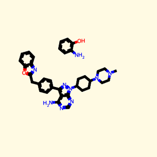 CN1CCN(C2CCC(n3nc(-c4ccc(Cc5nc6ccccc6o5)cc4)c4c(N)ncnc43)CC2)CC1.Nc1ccccc1O